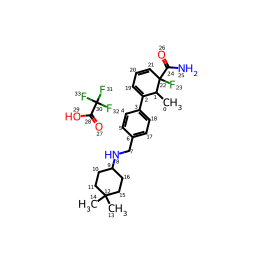 CC1C(c2ccc(CNC3CCC(C)(C)CC3)cc2)=CC=CC1(F)C(N)=O.O=C(O)C(F)(F)F